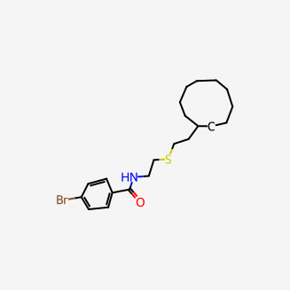 O=C(NCCSCCC1CCCCCCCCC1)c1ccc(Br)cc1